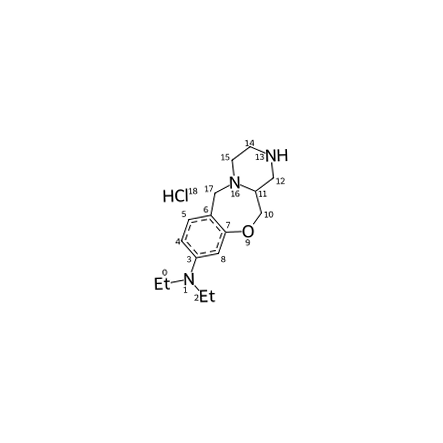 CCN(CC)c1ccc2c(c1)OCC1CNCCN1C2.Cl